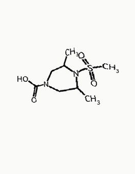 CC1CN(C(=O)O)CC(C)N1S(C)(=O)=O